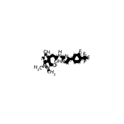 Cn1nc2c(c1CC(=O)Nc1nc(-c3ccc(C(F)(F)F)c(F)c3)c[nH]1)c(=O)n(C)n2C